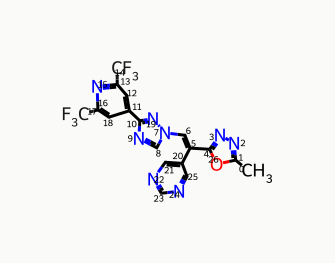 Cc1nnc(C(=Cn2cnc(-c3cc(C(F)(F)F)nc(C(F)(F)F)c3)n2)c2cncnc2)o1